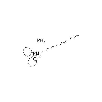 CCCCCCCCCCCCCCCCCCCCC1(C2CCCCCCCC2P)CCCCCCCC1.P